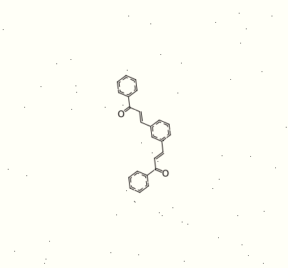 O=C(C=Cc1cccc(C=CC(=O)c2ccccc2)c1)c1ccccc1